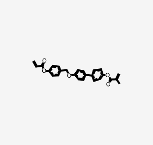 C=CC(=O)Oc1ccc(COc2ccc(-c3ccc(OC(=O)C(=C)C)cc3)cc2)cc1